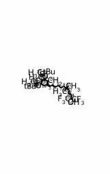 C=C1/C(=C\C=C\CCCC(C)(C)C/C=C/C(O)(C(F)(F)F)C(F)(F)F)C[C@@H](O[Si](C)(C)C(C)(C)C)C[C@@H]1O[Si](C)(C)C(C)(C)C